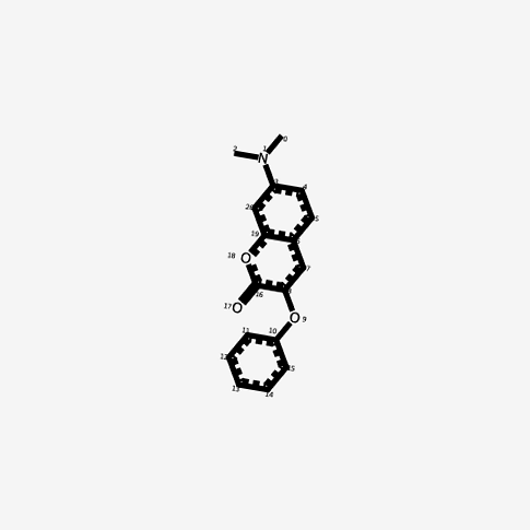 CN(C)c1ccc2cc(Oc3ccccc3)c(=O)oc2c1